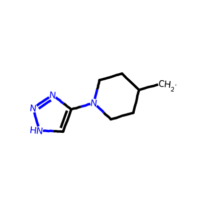 [CH2]C1CCN(c2c[nH]nn2)CC1